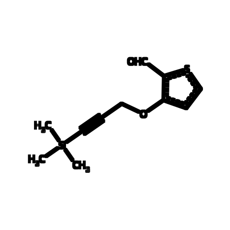 C[Si](C)(C)C#CCOc1ccsc1C=O